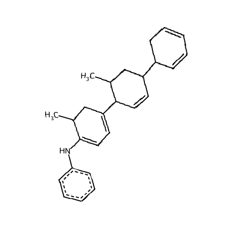 CC1CC(C2C=CC(C3C=CC=CC3)CC2C)=CC=C1Nc1ccccc1